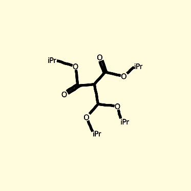 CC(C)OC(=O)C(C(=O)OC(C)C)C(OC(C)C)OC(C)C